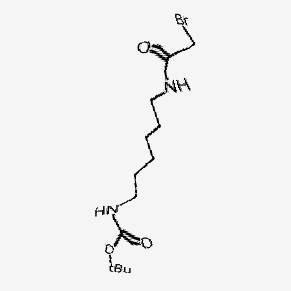 CC(C)(C)OC(=O)NCCCCCCNC(=O)CBr